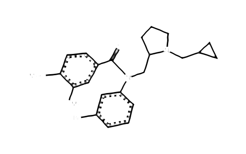 COc1ccc(C(=O)N(CC2CCCN2CC2CC2)c2cccc(Br)c2)cc1OC